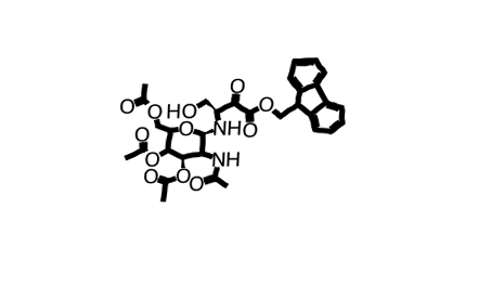 CC(=O)NC1[C@@H](OC(C)=O)C(OC(C)=O)C(COC(C)=O)O[C@H]1N[C@@H](CO)C(=O)C(=O)OCC1c2ccccc2-c2ccccc21